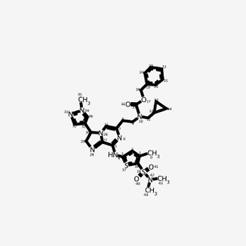 Cc1cc(NC2=NC(CCN(CC3CC3)C(=O)OCc3ccccc3)=CN3C2=NCC3c2cnn(C)c2)sc1S(=O)(=O)N(C)C